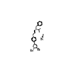 CC#N.CC(C)N(CCCc1ccc(C2CC(Br)C(Br)C2)cc1)Cc1ccccc1